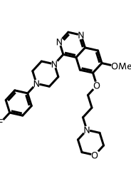 COc1cc2ncnc(N3CCN(c4ccc(F)cc4)CC3)c2cc1OCCCN1CCOCC1